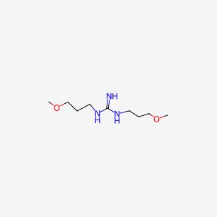 COCCCNC(=N)NCCCOC